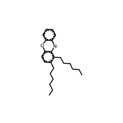 CCCCCCc1ccc2c(c1CCCCCC)[N]c1ccccc1O2